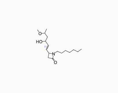 CCCCCCCN1C(=O)CC1/C=C/C(O)CC(C)OC